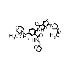 CO[C@H]1CCN(c2nc(C(=O)Nc3ccc(CN4CCOCC4(C)C)cc3C(=O)NC[C@@H]3CCCO3)cs2)C1